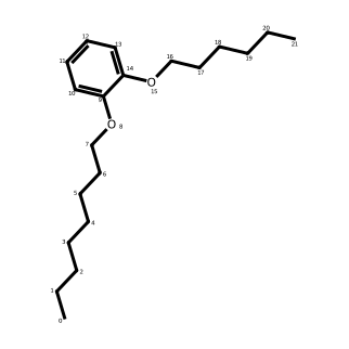 CCCCCCCCOc1cc[c]cc1OCCCCCC